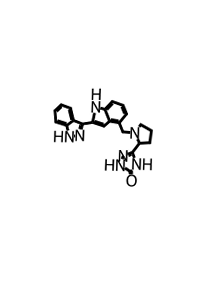 O=c1[nH]nc(C2CCCN2Cc2cccc3[nH]c(-c4n[nH]c5ccccc45)cc23)[nH]1